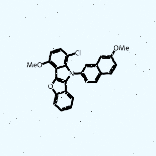 COc1ccc2ccc(-n3c4c(Cl)ccc(OC)c4c4oc5ccccc5c43)cc2c1